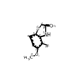 COc1ccc2c(c1F)NC(=O)CO2